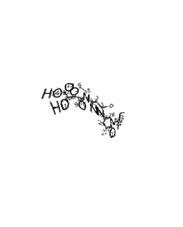 Cc1cc(N2CCO[C@](C)(C(O)C(=O)O)C2=O)nn1-c1ccc(=O)n(C(F)F)c1